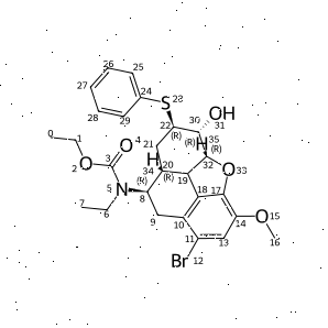 CCOC(=O)N(CC)[C@@H]1Cc2c(Br)cc(OC)c3c2C2[C@H]1C[C@@H](Sc1ccccc1)[C@H](O)[C@@H]2O3